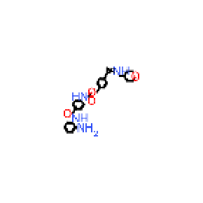 Nc1ccccc1NC(=O)c1ccc(NC(=O)OCc2ccc(C3C[C@@H]3NCC3CCOCC3)cc2)cc1